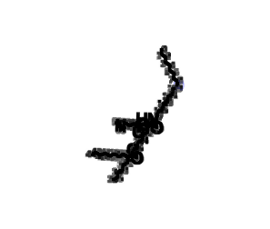 CCCCCCCC/C=C\CCCCCCCCNC(=O)C(CCCCCOC(=O)C(CCCCCC)CCCCCCCC)OC(=O)CCCN(C)C